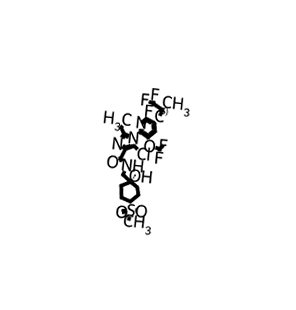 CCc1nc(C(=O)NC[C@]2(O)CC[C@@H](S(C)(=O)=O)CC2)c(Cl)n1-c1ncc(C[C@H](C)C(F)(F)F)cc1OC(F)F